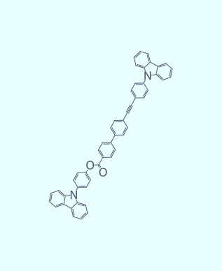 O=C(Oc1ccc(-n2c3ccccc3c3ccccc32)cc1)c1ccc(-c2ccc(C#Cc3ccc(-n4c5ccccc5c5ccccc54)cc3)cc2)cc1